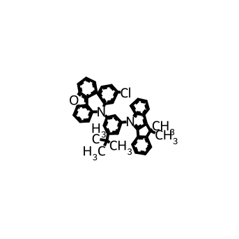 CC(C)(C)c1cc(N(c2cccc(Cl)c2)c2cccc3oc4ccccc4c23)cc(-n2c3c(c4ccccc42)C(C)(C)c2ccccc2-3)c1